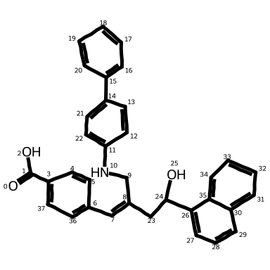 O=C(O)c1ccc(C=C(CNc2ccc(-c3ccccc3)cc2)CC(O)c2cccc3ccccc23)cc1